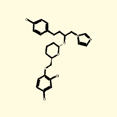 Clc1ccc(CCC(Cn2ccnc2)O[C@H]2CCC[C@H](COc3ccc(Cl)cc3Cl)O2)cc1